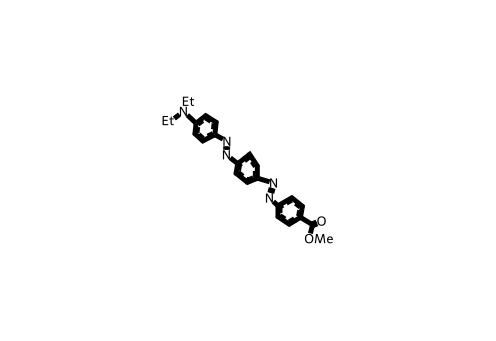 CCN(CC)c1ccc(N=Nc2ccc(N=Nc3ccc(C(=O)OC)cc3)cc2)cc1